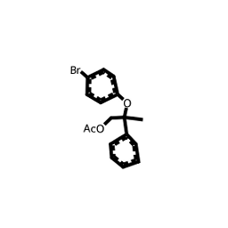 CC(=O)OCC(C)(Oc1ccc(Br)cc1)c1ccccc1